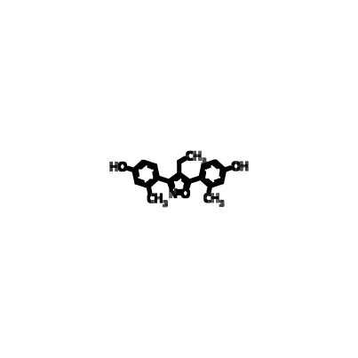 CCc1c(-c2ccc(O)cc2C)noc1-c1ccc(O)cc1C